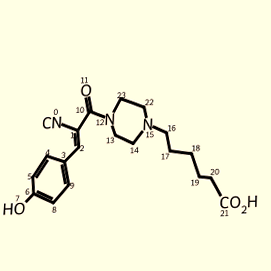 [C-]#[N+]/C(=C\c1ccc(O)cc1)C(=O)N1CCN(CCCCCC(=O)O)CC1